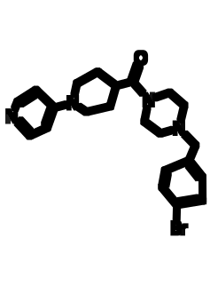 O=C(C1CCN(c2ccncc2)CC1)N1CCN(Cc2ccc(Br)cc2)CC1